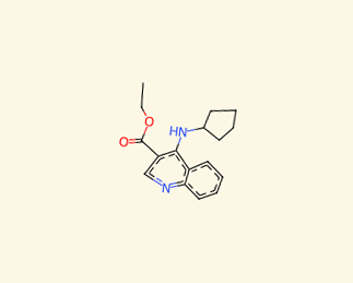 CCOC(=O)c1cnc2ccccc2c1NC1CCCC1